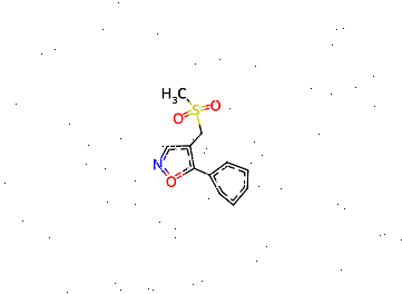 CS(=O)(=O)Cc1[c]noc1-c1ccccc1